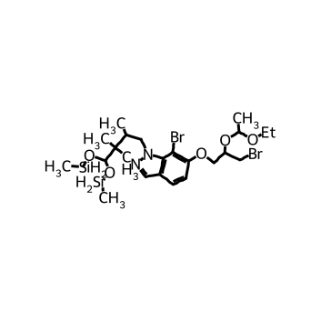 CCOC(C)OC(CBr)COc1ccc2cnn(CC(C)C(C)(C)C(O[SiH2]C)O[SiH2]C)c2c1Br